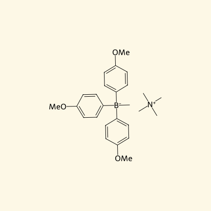 COc1ccc([B-](C)(c2ccc(OC)cc2)c2ccc(OC)cc2)cc1.C[N+](C)(C)C